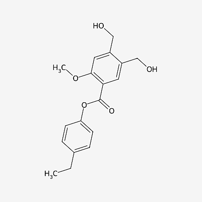 CCc1ccc(OC(=O)c2cc(CO)c(CO)cc2OC)cc1